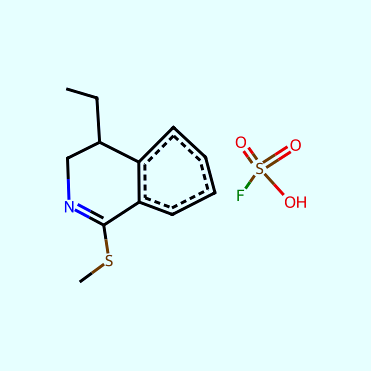 CCC1CN=C(SC)c2ccccc21.O=S(=O)(O)F